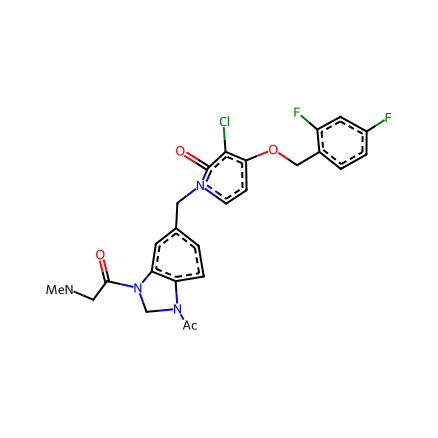 CNCC(=O)N1CN(C(C)=O)c2ccc(Cn3ccc(OCc4ccc(F)cc4F)c(Cl)c3=O)cc21